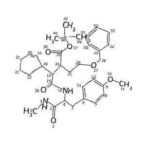 CNC(=O)C(Cc1ccc(OC)cc1)NC(=O)C(C1C=CCCC1)C(CCOCc1ccccc1)C(=O)OC(C)(C)C